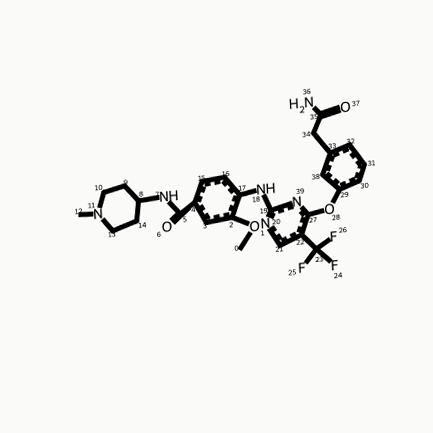 COc1cc(C(=O)NC2CCN(C)CC2)ccc1Nc1ncc(C(F)(F)F)c(Oc2cccc(CC(N)=O)c2)n1